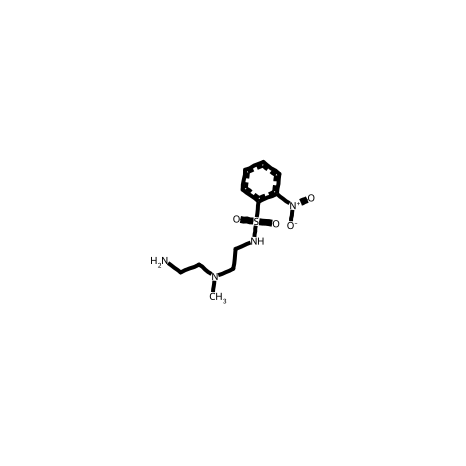 CN(CCN)CCNS(=O)(=O)c1ccccc1[N+](=O)[O-]